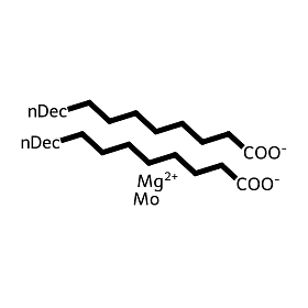 CCCCCCCCCCCCCCCCCC(=O)[O-].CCCCCCCCCCCCCCCCCC(=O)[O-].[Mg+2].[Mo]